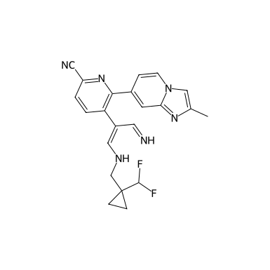 Cc1cn2ccc(-c3nc(C#N)ccc3/C(C=N)=C/NCC3(C(F)F)CC3)cc2n1